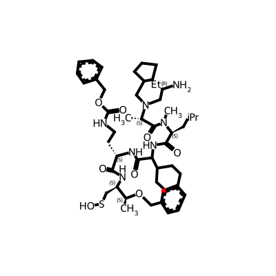 CC[C@@H](N)CN(CC1CCCC1)[C@@H](C)C(=O)N(C)[C@@H](CC(C)C)C(=O)NC(C(=O)N[C@@H](CCNC(=O)OCc1ccccc1)C(=O)N[C@H](CSO)[C@H](C)OCc1ccccc1)C1CCCCC1